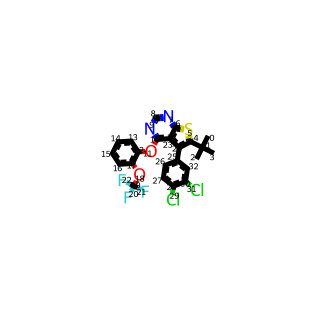 CC(C)(C)c1sc2ncnc(Oc3ccccc3OC(F)(F)F)c2c1-c1ccc(Cl)c(Cl)c1